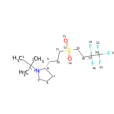 CC(C)(C)N1CCC[C@H]1CCCS(=O)(=O)CCC(F)(F)C(F)(F)F